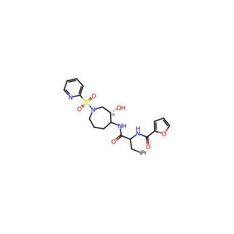 CC(C)CC(NC(=O)c1ccco1)C(=O)NC1CCCN(S(=O)(=O)c2ccccn2)C[C@@H]1O